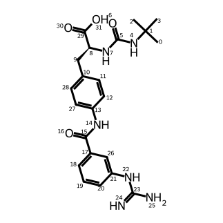 CC(C)(C)NC(=O)N[C@@H](Cc1ccc(NC(=O)c2cccc(NC(=N)N)c2)cc1)C(=O)O